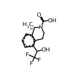 C[C@H]1c2cccc(C(O)C(F)(F)F)c2CCN1C(=O)O